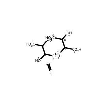 C=O.O=C(O)C(O)C(O)C(=O)O.O=C(O)C(O)C(O)C(=O)O